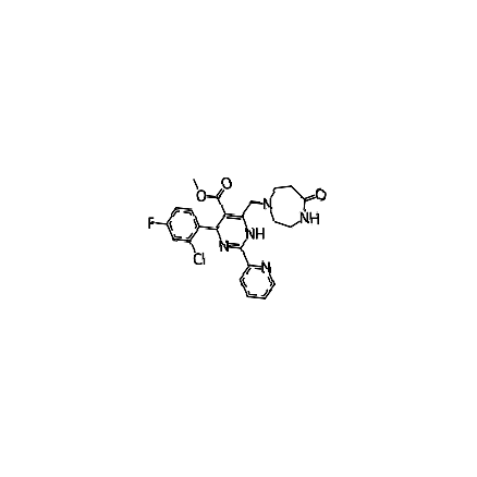 COC(=O)C1=C(CN2CCNC(=O)CC2)NC(c2ccccn2)=NC1c1ccc(F)cc1Cl